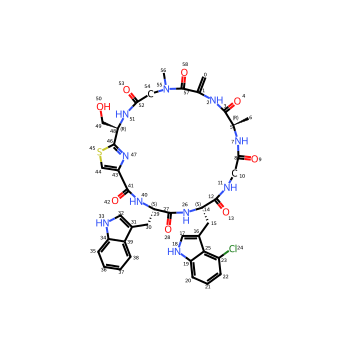 C=C1NC(=O)[C@@H](C)NC(=O)CNC(=O)[C@H](Cc2c[nH]c3cccc(Cl)c23)NC(=O)[C@H](Cc2c[nH]c3ccccc23)NC(=O)c2csc(n2)[C@@H](CO)NC(=O)CN(C)C1=O